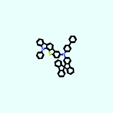 c1ccc(-c2ccc(N(c3ccc4c(c3)C3(c5ccccc5-c5ccccc53)c3ccccc3-4)c3ccc4sc5c(ccc6c7ccccc7n(-c7ccccc7)c65)c4c3)cc2)cc1